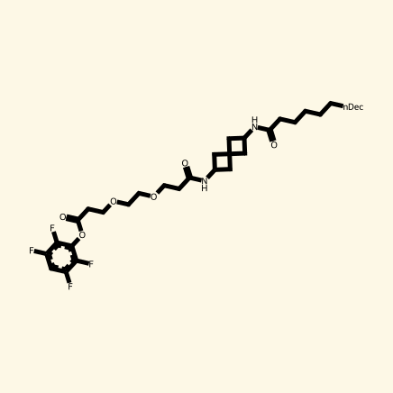 CCCCCCCCCCCCCCCC(=O)NC1CC2(C1)CC(NC(=O)CCOCCOCCC(=O)Oc1c(F)c(F)cc(F)c1F)C2